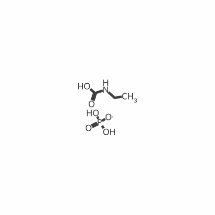 CCNC(=O)O.[O]P(=O)(O)O